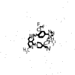 Cc1cc2c(c(N3CCC(C)(C#N)CC3)n1)CN(Nc1ccc(-c3nncn3C)cc1OC(F)F)C=C2